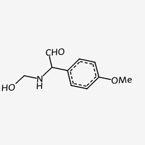 COc1ccc(C(C=O)NCO)cc1